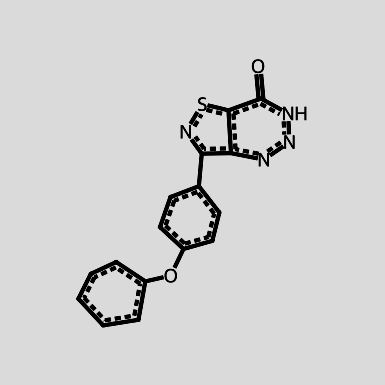 O=c1[nH]nnc2c(-c3ccc(Oc4ccccc4)cc3)nsc12